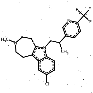 CC(Cn1c2c(c3cc(Cl)ccc31)CCN(C)CC2)c1ccc(C(F)(F)F)nc1